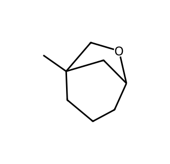 CC12CCCC(C1)OC2